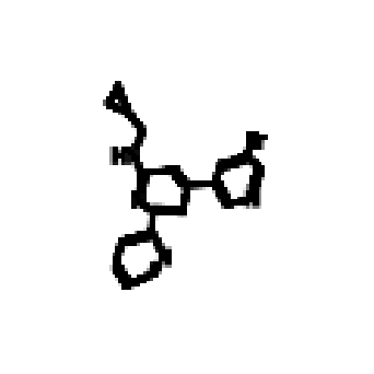 Brc1cncc(-c2cc(NCC3CC3)nc(-c3ccccn3)c2)c1